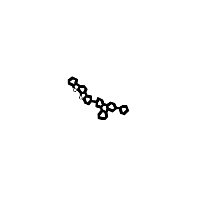 c1ccc(-c2ccc3c4ccc(-c5ccc6oc7c(ccc8c9ccccc9oc87)c6c5)cc4c4ccccc4c3c2)cc1